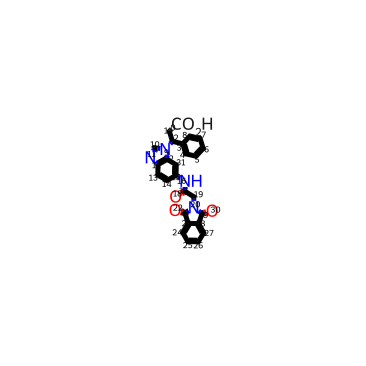 O=C(O)CC(c1ccccc1)n1cnc2ccc(NC(=O)CN3C(=O)c4ccccc4C3=O)cc21